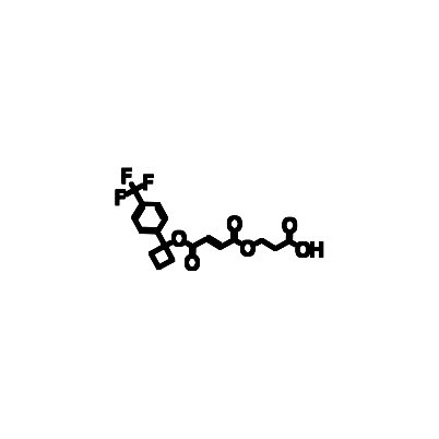 O=C(O)CCOC(=O)C=CC(=O)OC1(c2ccc(C(F)(F)F)cc2)CCC1